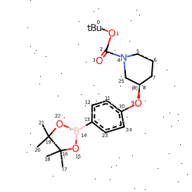 CC(C)(C)OC(=O)N1CCC[C@@H](Oc2ccc(B3OC(C)(C)C(C)(C)O3)cc2)C1